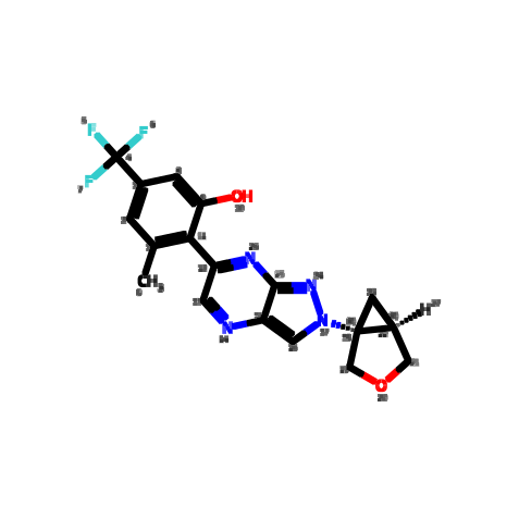 Cc1cc(C(F)(F)F)cc(O)c1-c1cnc2cn([C@@]34COC[C@@H]3C4)nc2n1